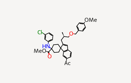 COC(=O)C1(Nc2cccc(Cl)c2)CCC2(CC1)C(C[C@@H](C)COCc1ccc(OC)cc1)=Cc1ccc(C(C)=O)cc12